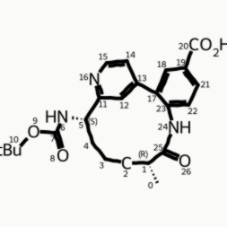 C[C@@H]1CCC[C@H](NC(=O)OC(C)(C)C)c2cc(ccn2)-c2cc(C(=O)O)ccc2NC1=O